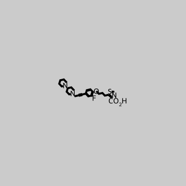 O=C(O)c1ncsc1CCCOc1ccc(C#CCN2CCC(N3CCCCC3)CC2)cc1F